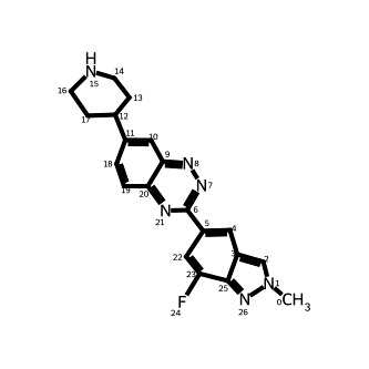 Cn1cc2cc(-c3nnc4cc(C5CCNCC5)ccc4n3)cc(F)c2n1